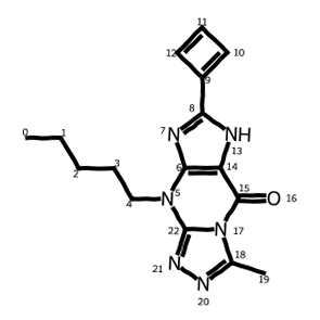 CCCCCn1c2nc(C3=CC=C3)[nH]c2c(=O)n2c(C)nnc12